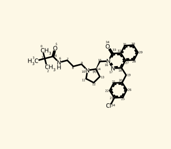 CC(C)(C)C(=O)NCCCN1CCC[C@@H]1Cn1nc(Cc2ccc(Cl)cc2)c2ccccc2c1=O